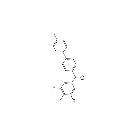 Cc1ccc(-c2ccc(C(=O)c3cc(F)c(C)c(F)c3)cc2)cc1